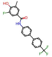 Cc1cc(C(=O)Nc2ccc(-c3ccc(C(F)(F)F)cc3)cc2)cc(F)c1O